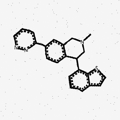 CN1Cc2cc(-c3cccnn3)ccc2C(c2cccc3ccsc23)C1